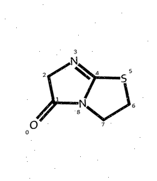 O=C1CN=C2SCCN12